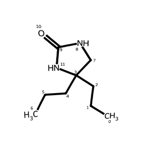 CCCC1(CCC)CNC(=O)N1